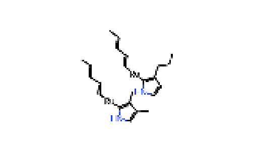 CC=CC=[CH][Ru][c]1[nH]cc(C)c1C.CC=CC=[CH][Ru][c]1[nH]ccc1CCC